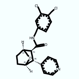 O=C(Nc1ccc(Cl)c(Cl)c1)[C@H]1[C@H](c2ccncc2)[C@H]2CC[C@@H]1O2